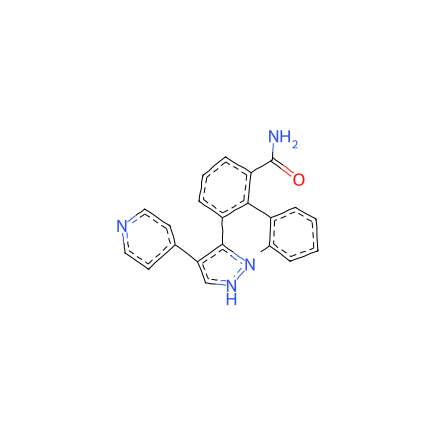 Cc1ccccc1-c1c(C(N)=O)cccc1-c1n[nH]cc1-c1ccncc1